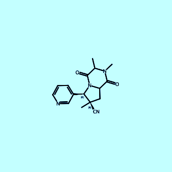 CC1C(=O)N2C(C[C@@](C)(C#N)[C@H]2c2cccnc2)C(=O)N1C